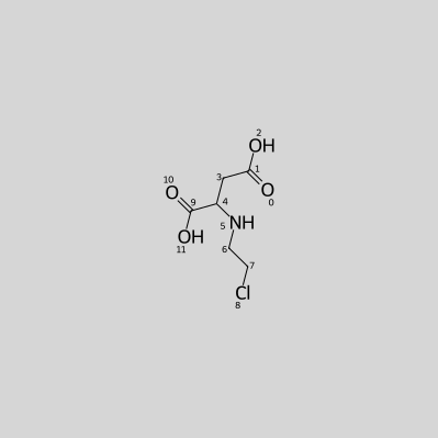 O=C(O)CC(NCCCl)C(=O)O